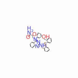 NC(=O)C1CN(c2nc(NCc3ccccc3Sc3ccccc3CO)nc3ccccc23)c2ccccc2O1